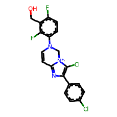 OCc1c(F)ccc(N2C=CC3=NC(c4ccc(Cl)cc4)=C(Cl)[N+]3C2)c1F